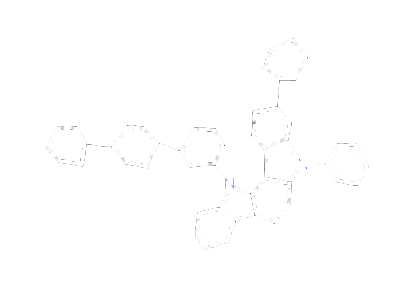 c1ccc(-c2ccc(-c3cccc(-n4c5ccccc5c5ccc6c(c7ccc(-c8ccccc8)cc7n6-c6ccccc6)c54)c3)cc2)cc1